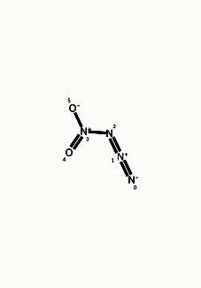 [N-]=[N+]=N[N+](=O)[O-]